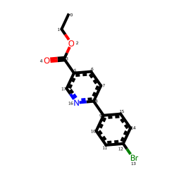 CCOC(=O)c1ccc(-c2ccc(Br)cc2)nc1